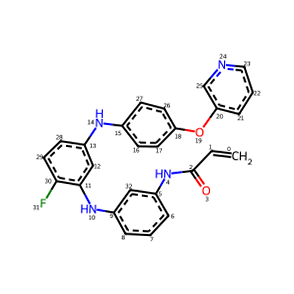 C=CC(=O)Nc1cccc(Nc2cc(Nc3ccc(Oc4cccnc4)cc3)ccc2F)c1